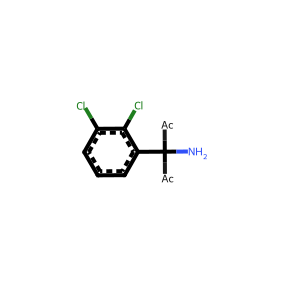 CC(=O)C(N)(C(C)=O)c1cccc(Cl)c1Cl